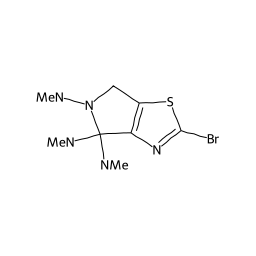 CNN1Cc2sc(Br)nc2C1(NC)NC